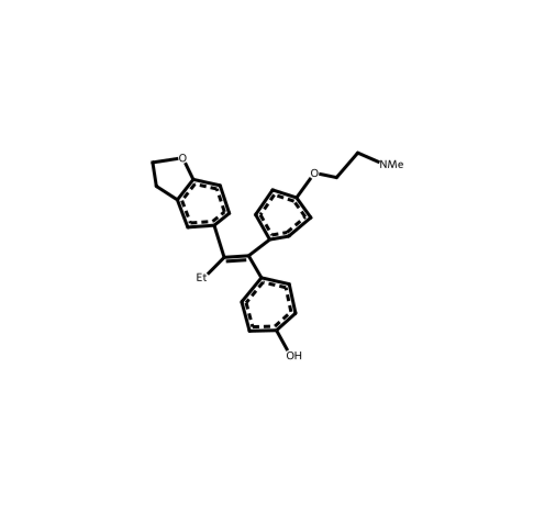 CCC(=C(c1ccc(O)cc1)c1ccc(OCCNC)cc1)c1ccc2c(c1)CCO2